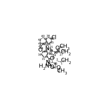 C=CC[C@H](COC)CS(N)(=O)=NC(=O)c1ccc2c(c1)N(C[C@@H]1CC[C@H]1[C@H](C=C)OC)C[C@@]13c4ccc(Cl)cc4CCC1C3O2